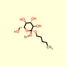 CCCCCO[C@]1(OBr)O[C@H](CO)[C@@H](O)[C@H](O)[C@H]1O